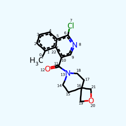 Cc1cccc2c(Cl)ncc(C(=O)N3CCC4(CC3)COC4)c12